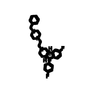 Fc1ccc(N2c3ccc(F)cc3[C@@H]3CN(CCN4CCN(Cc5ccccc5)CC4)CC[C@H]32)cc1